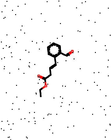 CCOC(=O)CC=Cc1ccccc1C=O